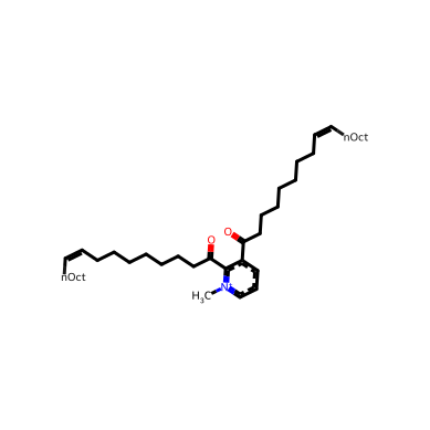 CCCCCCCC/C=C\CCCCCCCC(=O)c1ccc[n+](C)c1C(=O)CCCCCCC/C=C\CCCCCCCC